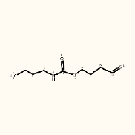 CCCCNC(=O)OCCCC=S